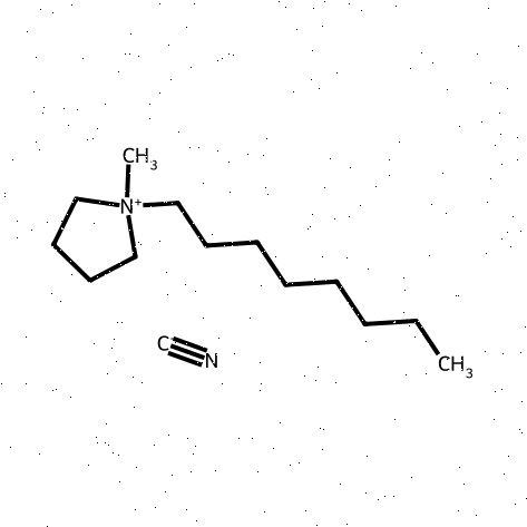 CCCCCCCC[N+]1(C)CCCC1.[C-]#N